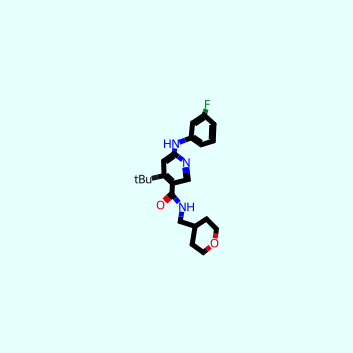 CC(C)(C)c1cc(Nc2cccc(F)c2)ncc1C(=O)NCC1CCOCC1